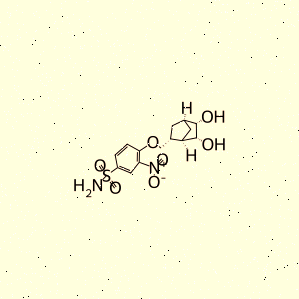 NS(=O)(=O)c1ccc(OC[C@@H]2C[C@@H]3C[C@H]2[C@@H](O)[C@H]3O)c([N+](=O)[O-])c1